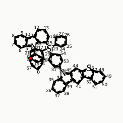 c1ccc(-n2c3ccccc3c3cccc([Si](c4ccccc4)(c4ccccc4)c4ccc(-n5c6ccccc6c6cc7c(cc65)sc5ccccc57)cc4)c32)cc1